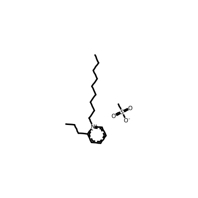 CCCCCCCCC[n+]1ccccc1CCC.CS(=O)(=O)[O-]